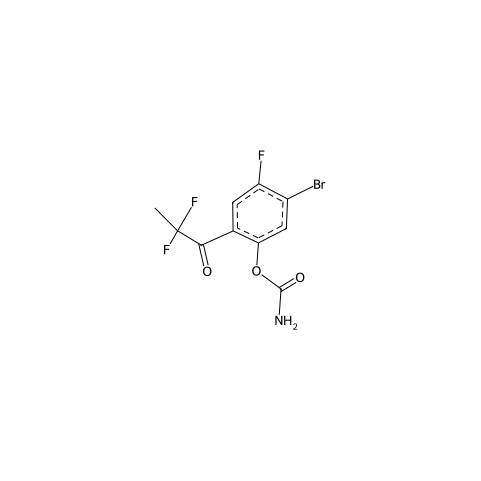 CC(F)(F)C(=O)c1cc(F)c(Br)cc1OC(N)=O